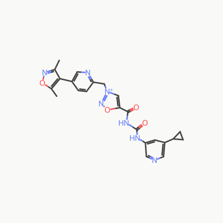 Cc1noc(C)c1-c1ccc(C[n+]2cc(C(=O)NC(=O)Nc3cncc(C4CC4)c3)on2)nc1